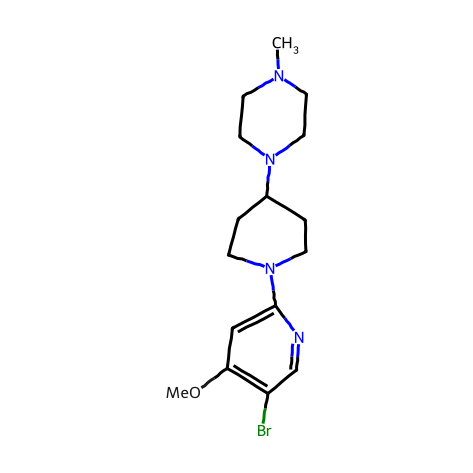 COc1cc(N2CCC(N3CCN(C)CC3)CC2)ncc1Br